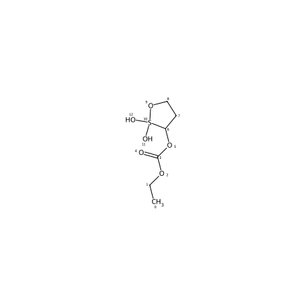 CCOC(=O)OC1CCOS1(O)O